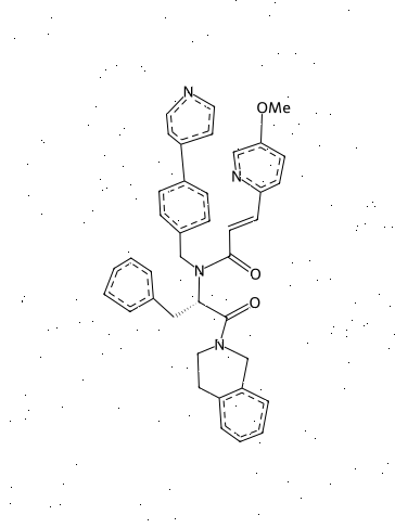 COc1ccc(/C=C/C(=O)N(Cc2ccc(-c3ccncc3)cc2)[C@@H](Cc2ccccc2)C(=O)N2CCc3ccccc3C2)nc1